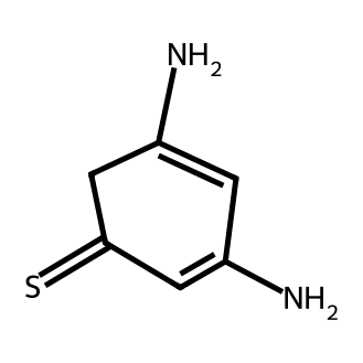 NC1=CC(=S)CC(N)=C1